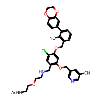 CC(=O)NCCOCCNCc1cc(Cl)c(OCc2cccc(-c3ccc4c(c3)OCCO4)c2C#N)cc1OCc1cncc(C#N)c1